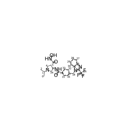 CC(C)N1C[C@H](C(=O)NO)[C@H](NC(=O)c2ccc(Cn3c(C(F)(F)F)nc4ccccc43)cc2)C1